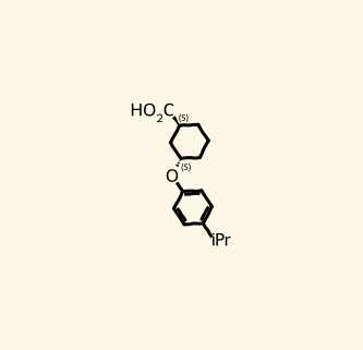 CC(C)c1ccc(O[C@H]2CCC[C@H](C(=O)O)C2)cc1